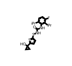 CC(C)c1ccc(F)c(C(C)C)c1NC(=O)NSc1ccc(C2(O)CC2)s1